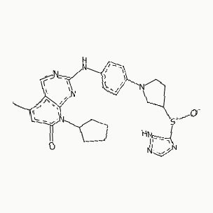 Cc1cc(=O)n(C2CCCC2)c2nc(Nc3ccc(N4CCC([S+]([O-])c5ncn[nH]5)C4)cc3)ncc12